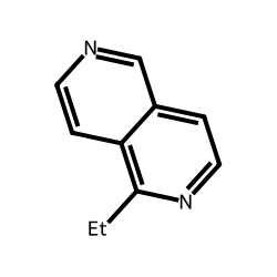 CCc1nccc2cnccc12